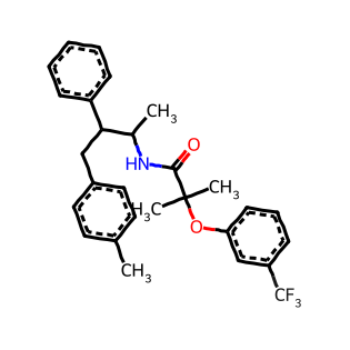 Cc1ccc(CC(c2ccccc2)C(C)NC(=O)C(C)(C)Oc2cccc(C(F)(F)F)c2)cc1